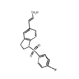 O=C(O)C=Cc1ccc2c(c1)CCN2S(=O)(=O)c1ccc(F)cc1